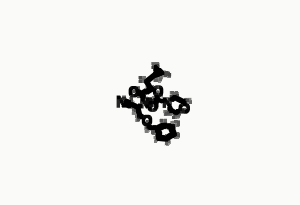 N#CC(COCc1ccccc1)NC(=O)C(CC1CC1)OC(=O)N1CCOCC1